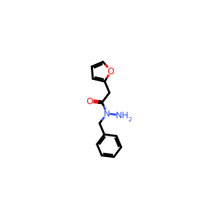 NN(Cc1ccccc1)C(=O)Cc1ccco1